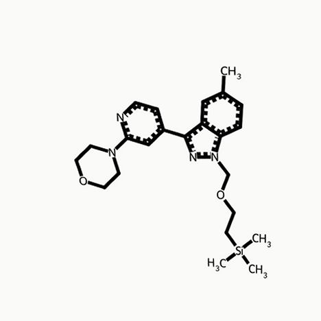 Cc1ccc2c(c1)c(-c1ccnc(N3CCOCC3)c1)nn2COCC[Si](C)(C)C